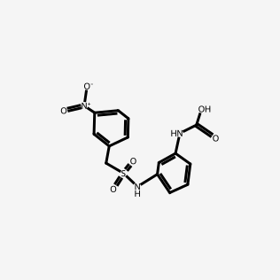 O=C(O)Nc1cccc(NS(=O)(=O)Cc2cccc([N+](=O)[O-])c2)c1